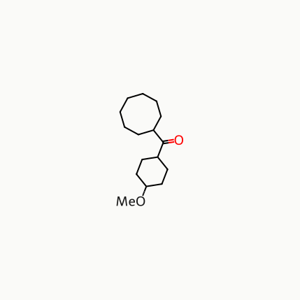 COC1CCC(C(=O)C2CCCCCCC2)CC1